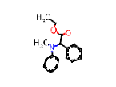 CCOC(=O)C(c1ccccc1)N(C)c1ccccc1